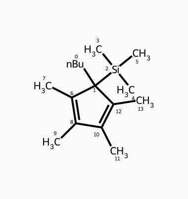 CCCCC1([Si](C)(C)C)C(C)=C(C)C(C)=C1C